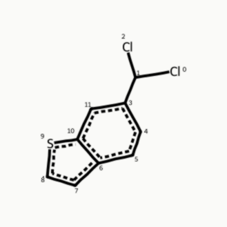 ClC(Cl)c1ccc2c[c]sc2c1